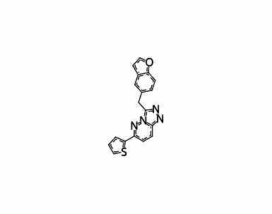 c1csc(-c2ccc3nnc(Cc4ccc5occc5c4)n3n2)c1